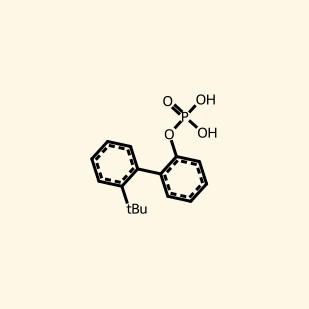 CC(C)(C)c1ccccc1-c1ccccc1OP(=O)(O)O